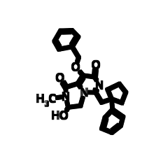 CN1C(=O)c2c(OCc3ccccc3)c(=O)nc(CC3(c4ccccc4)CCCC3)n2CC1O